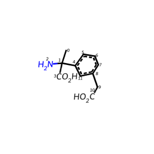 CC(N)(C(=O)O)c1cccc(CC(=O)O)c1